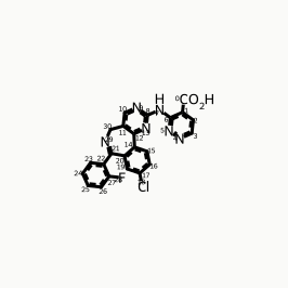 O=C(O)c1ccnnc1Nc1ncc2c(n1)-c1ccc(Cl)cc1C(c1ccccc1F)=NC2